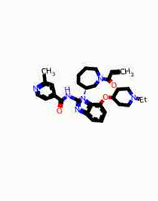 C=CC(=O)N1CCCC[C@@H](n2c(NC(=O)c3ccnc(C)c3)nc3cccc(OC4CCN(CC)CC4)c32)C1